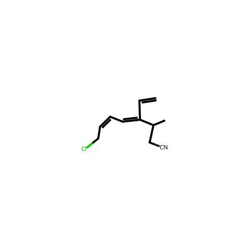 C=C/C(=C\C=C/CCl)C(C)CC#N